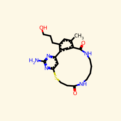 Cc1cc(CCCO)c2cc1C(=O)NCCCCNC(=O)CCSc1cc-2nc(N)n1